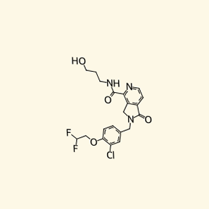 O=C(NCCCO)c1nccc2c1CN(Cc1ccc(OCC(F)F)c(Cl)c1)C2=O